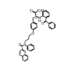 COC(=O)[C@H](Cc1ccc(OCCCN(C(=O)c2cnc3ccccc3n2)c2ccccc2)cc1)Nc1ccccc1C(=O)c1ccccc1